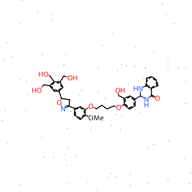 COc1ccc(C2=NOC(c3cc(CO)c(CO)c(CO)c3)C2)cc1OCCCCOc1ccc(C2NC(=O)c3ccccc3N2)cc1CO